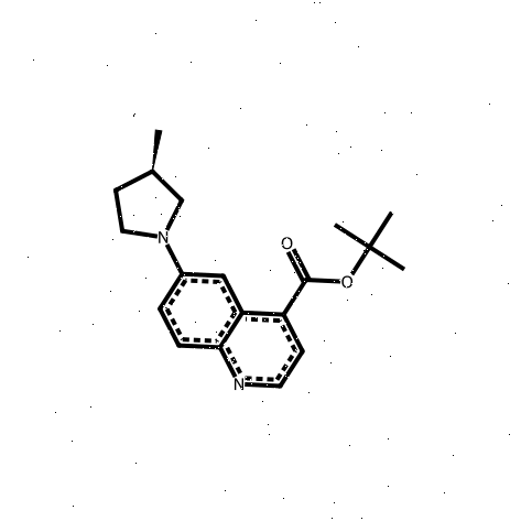 C[C@@H]1CCN(c2ccc3nccc(C(=O)OC(C)(C)C)c3c2)C1